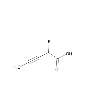 CC#CC(F)C(=O)O